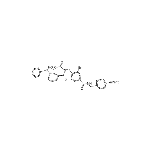 CCCCCc1ccc(CNC(=O)c2cc(Br)c(CN(Cc3cccc(Oc4ccccc4)c3)C(=O)C(=O)O)c(Br)c2)cc1